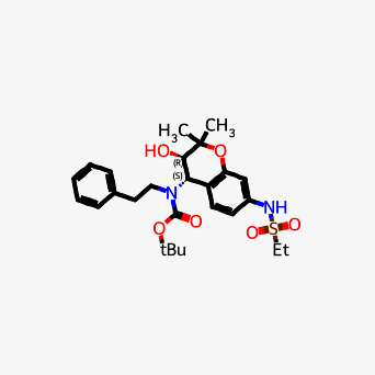 CCS(=O)(=O)Nc1ccc2c(c1)OC(C)(C)[C@H](O)[C@H]2N(CCc1ccccc1)C(=O)OC(C)(C)C